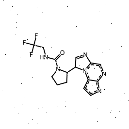 O=C(NCC(F)(F)F)N1CCCC1C1C=Nc2cnc3nccc-3n21